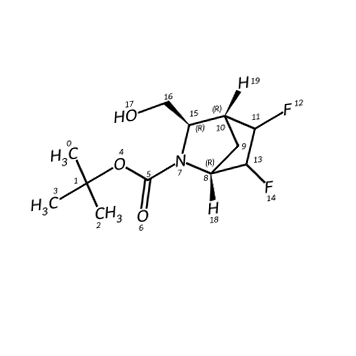 CC(C)(C)OC(=O)N1[C@@H]2C[C@@H](C(F)C2F)[C@@H]1CO